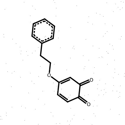 O=C1C=CC(OCCc2ccccc2)=CC1=O